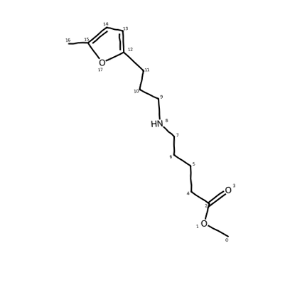 COC(=O)CCCCNCCCc1ccc(C)o1